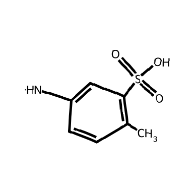 Cc1ccc([NH])cc1S(=O)(=O)O